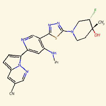 CC(C)Nc1cc(-c2ccc3cc(C#N)cnn23)ncc1-c1nnc(N2CC[C@@](C)(O)[C@@H](F)C2)s1